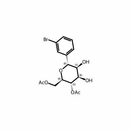 CC(=O)OC[C@H]1O[C@H](c2cccc(Br)c2)[C@@H](O)[C@@H](O)[C@@H]1OC(C)=O